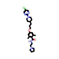 Cc1cc(OCCCC2CCN(c3ncc(Cl)cn3)CC2)cc(C)c1C(=O)NCCN1CCCC1